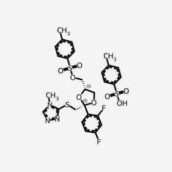 Cc1ccc(S(=O)(=O)O)cc1.Cc1ccc(S(=O)(=O)OC[C@@H]2CO[C@@](CSc3nncn3C)(c3ccc(F)cc3F)O2)cc1